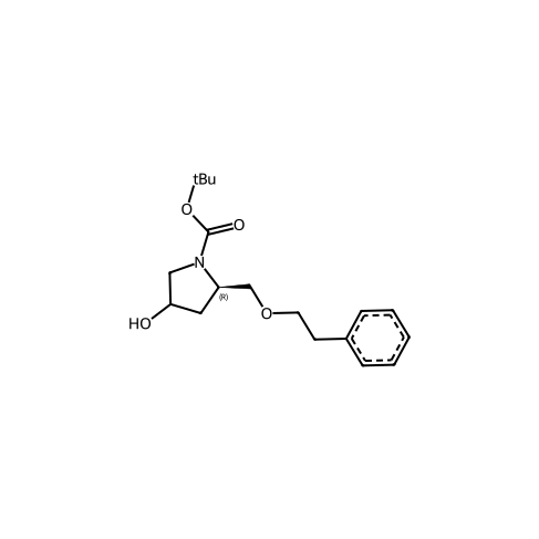 CC(C)(C)OC(=O)N1CC(O)C[C@@H]1COCCc1ccccc1